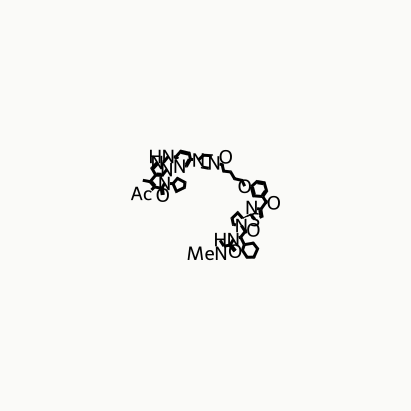 CNC(C)C(=O)NC(C(=O)N1CCC[C@H]1c1nc(C(=O)c2cccc(OCCCCC(=O)N3CCN(c4ccc(Nc5ncc6c(C)c(C(C)=O)c(=O)n(C7CCCC7)c6n5)nc4)CC3)c2)cs1)C1CCCCC1